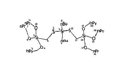 CCCC[Si](CCCC)(SC[Si](OCCC)(OCCC)OCCC)SC[Si](OCCC)(OCCC)OCCC